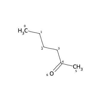 CC[CH]CC(C)=O